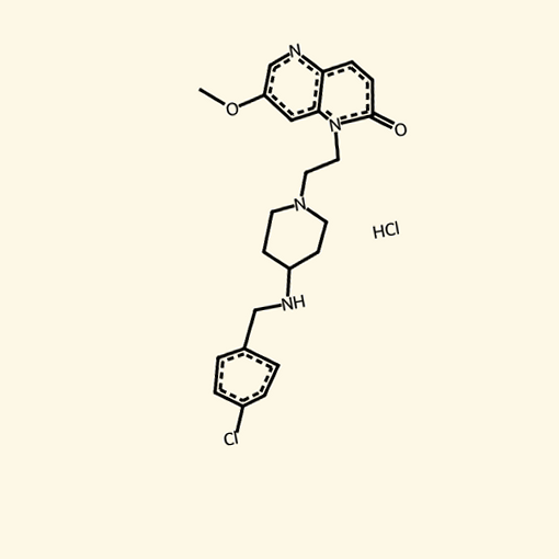 COc1cnc2ccc(=O)n(CCN3CCC(NCc4ccc(Cl)cc4)CC3)c2c1.Cl